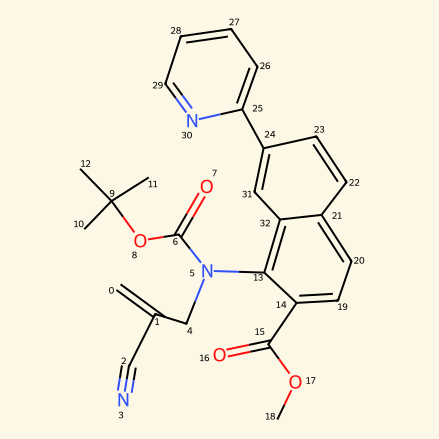 C=C(C#N)CN(C(=O)OC(C)(C)C)c1c(C(=O)OC)ccc2ccc(-c3ccccn3)cc12